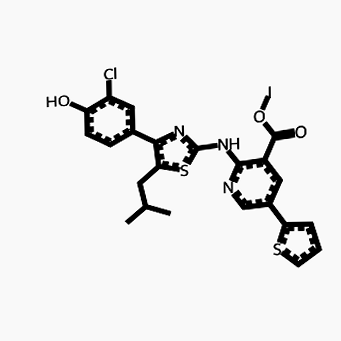 CC(C)Cc1sc(Nc2ncc(-c3cccs3)cc2C(=O)OI)nc1-c1ccc(O)c(Cl)c1